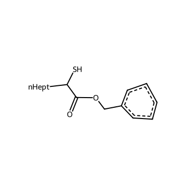 CCCCCCCC(S)C(=O)OCc1ccccc1